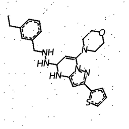 CCc1cccc(CNNC2C=C(N3CCOCC3)n3nc(-c4cccs4)cc3N2)c1